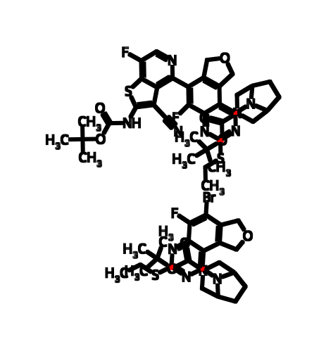 CCSc1nc(N2C3CCC2CN(C(=O)OC(C)(C)C)C3)c2c3c(c(-c4ncc(F)c5sc(NC(=O)OC(C)(C)C)c(C#N)c45)c(F)c2n1)COC3.CCSc1nc(N2C3CCC2CN(C(=O)OC(C)(C)C)C3)c2c3c(c(Br)c(F)c2n1)COC3